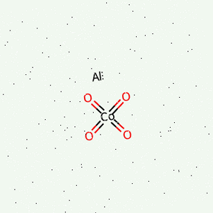 [Al].[O]=[Co](=[O])(=[O])=[O]